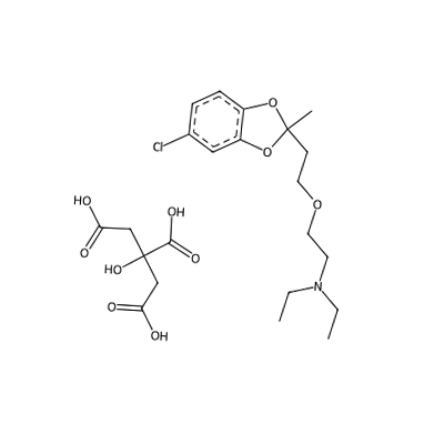 CCN(CC)CCOCCC1(C)Oc2ccc(Cl)cc2O1.O=C(O)CC(O)(CC(=O)O)C(=O)O